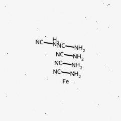 N#CN.N#CN.N#CN.N#CN.N#CN.[Fe]